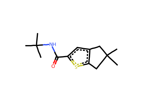 CC1(C)Cc2cc(C(=O)NC(C)(C)C)sc2C1